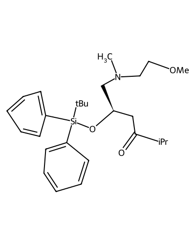 COCCN(C)C[C@@H](CC(=O)C(C)C)O[Si](c1ccccc1)(c1ccccc1)C(C)(C)C